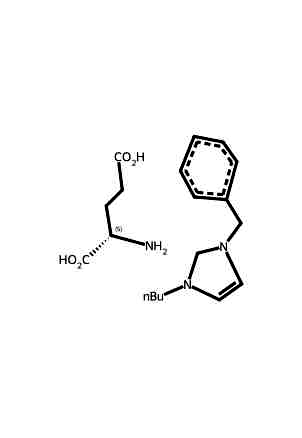 CCCCN1C=CN(Cc2ccccc2)C1.N[C@@H](CCC(=O)O)C(=O)O